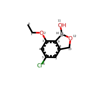 CCOc1cc(Cl)cc2c1B(O)OC2